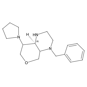 c1ccc(CN2CCN[C@@H]3C(N4CCCC4)COCC32)cc1